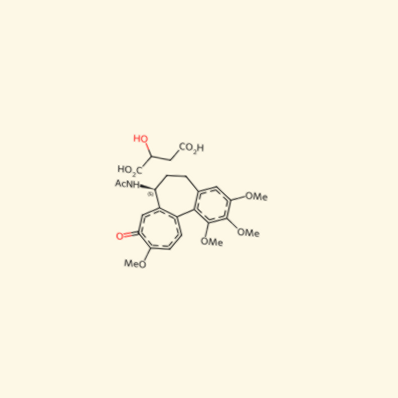 COc1cc2c(c(OC)c1OC)-c1ccc(OC)c(=O)cc1[C@@H](NC(C)=O)CC2.O=C(O)CC(O)C(=O)O